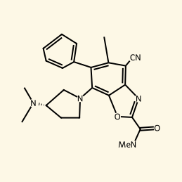 CNC(=O)c1nc2c(C#N)c(C)c(-c3ccccc3)c(N3CC[C@H](N(C)C)C3)c2o1